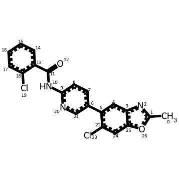 Cc1nc2cc(-c3ccc(NC(=O)c4ccccc4Cl)nc3)c(Cl)cc2o1